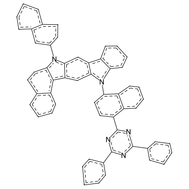 c1ccc(-c2nc(-c3ccccc3)nc(-c3ccc(-n4c5ccccc5c5cc6c(cc54)c4c5ccccc5ccc4n6-c4ccc5ccccc5c4)c4ccccc34)n2)cc1